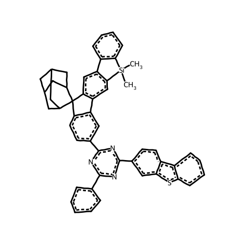 C[Si]1(C)c2ccccc2-c2cc3c(cc21)-c1cc(-c2nc(-c4ccccc4)nc(-c4ccc5c(c4)sc4ccccc45)n2)ccc1C31C2CC3CC(C2)CC1C3